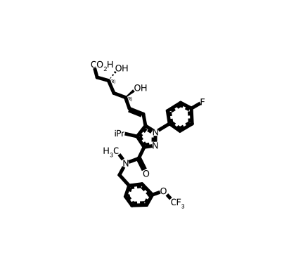 CC(C)c1c(C(=O)N(C)Cc2cccc(OC(F)(F)F)c2)nn(-c2ccc(F)cc2)c1C=C[C@H](O)C[C@@H](O)CC(=O)O